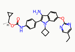 CCc1cnc(Oc2ccc3c(N)c(-c4ccc(NC(=O)O[C@H](C)C5CC5)cc4)n(C4CCC4)c3c2)nc1